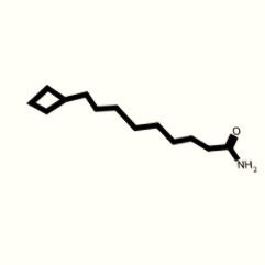 NC(=O)CCCCCCCCC1CCC1